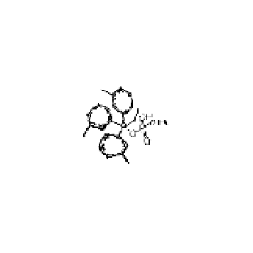 CCP(OP(=O)(O)O)(c1cccc(C)c1)(c1cccc(C)c1)c1cccc(C)c1